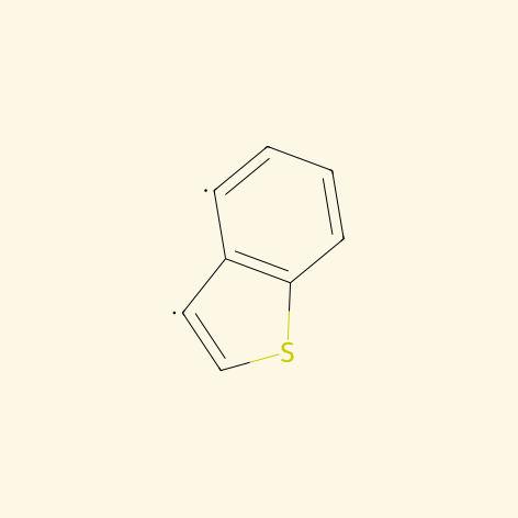 [c]1cccc2sc[c]c12